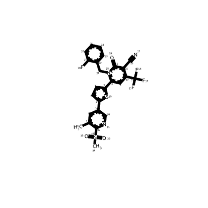 Cc1cc(-c2ccc(-c3cc(C(F)(F)F)c(C#N)c(=O)n3Cc3ccccc3F)s2)cnc1S(C)(=O)=O